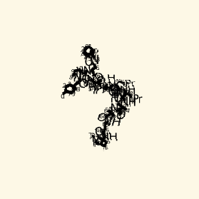 Cc1ccc(C(=O)N2CCC[C@H]2C(=O)NC(Cc2nc3ccccc3o2)C(=O)N[C@@H](CC(C)C)C(=O)NC(C)(C)C(=O)N[C@@H](CC(C)C)C(=O)N[C@@H](CC(C)C)C(=O)NC(C)(C)C(=O)NC(C)(C)C(=O)NCCC(=O)NC2(CN(C)C)CCC2)cc1